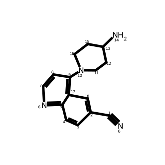 N#Cc1ccc2nccc(N3CCC(N)CC3)c2c1